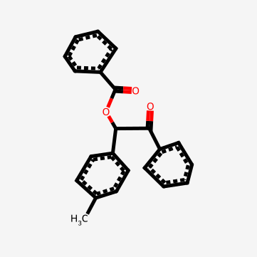 Cc1ccc(C(OC(=O)c2ccccc2)C(=O)c2ccccc2)cc1